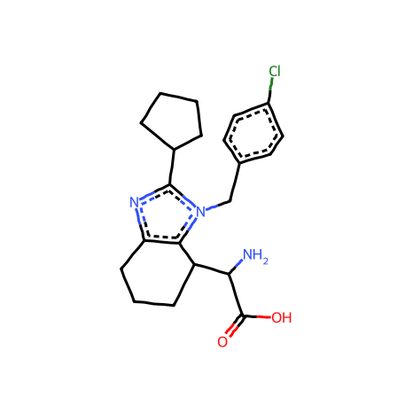 NC(C(=O)O)C1CCCc2nc(C3CCCC3)n(Cc3ccc(Cl)cc3)c21